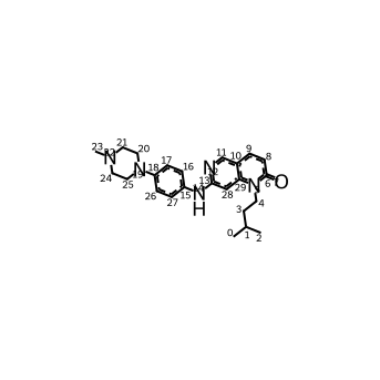 CC(C)CCn1c(=O)ccc2cnc(Nc3ccc(N4CCN(C)CC4)cc3)cc21